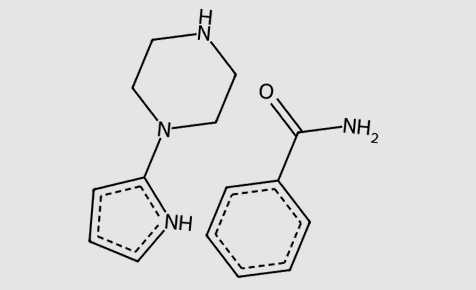 NC(=O)c1ccccc1.c1c[nH]c(N2CCNCC2)c1